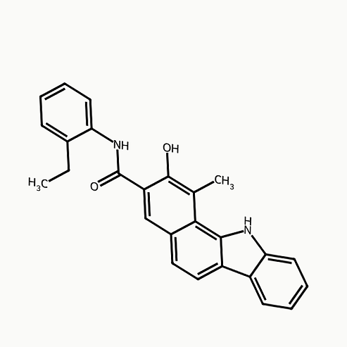 CCc1ccccc1NC(=O)c1cc2ccc3c4ccccc4[nH]c3c2c(C)c1O